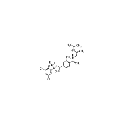 C=C(CNC(=C)c1ccc(C2=NOC(c3cc(Cl)cc(Cl)c3)(C(F)(F)F)C2)cc1C)NC(C)C